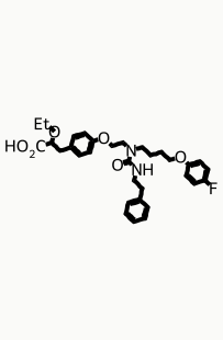 CCOC(Cc1ccc(OCCN(CCCCOc2ccc(F)cc2)C(=O)NCCc2ccccc2)cc1)C(=O)O